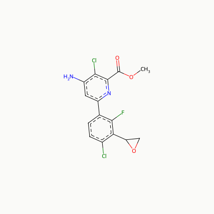 COC(=O)c1nc(-c2ccc(Cl)c(C3CO3)c2F)cc(N)c1Cl